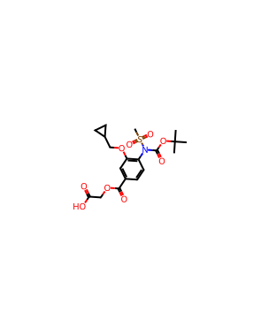 CC(C)(C)OC(=O)N(c1ccc(C(=O)OCC(=O)O)cc1OCC1CC1)S(C)(=O)=O